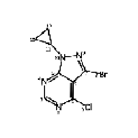 Clc1ncnc2c1c(Br)nn2C1CC1